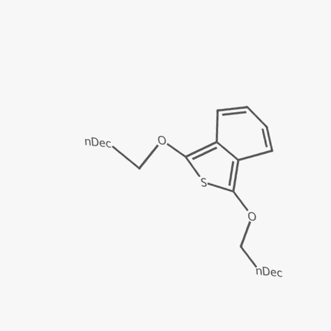 CCCCCCCCCCCOc1sc(OCCCCCCCCCCC)c2ccccc12